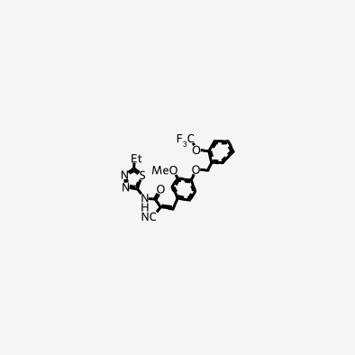 CCc1nnc(NC(=O)C(C#N)=Cc2ccc(OCc3ccccc3OC(F)(F)F)c(OC)c2)s1